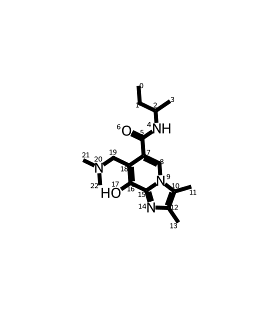 CCC(C)NC(=O)c1cn2c(C)c(C)nc2c(O)c1CN(C)C